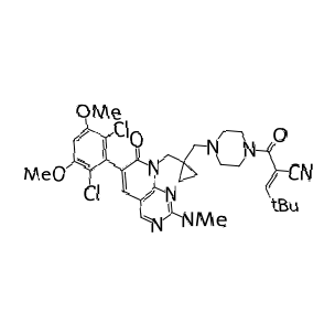 CNc1ncc2cc(-c3c(Cl)c(OC)cc(OC)c3Cl)c(=O)n(CC3(CN4CCN(C(=O)C(C#N)=CC(C)(C)C)CC4)CC3)c2n1